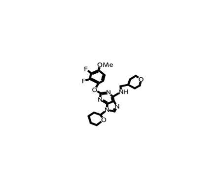 COc1ccc(Oc2nc(NCC3CCOCC3)c3ncn(C4CCCCO4)c3n2)c(F)c1F